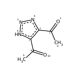 CC(=O)c1nn[nH]c1C(C)=O